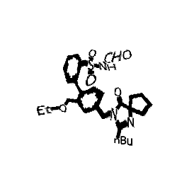 CCCCC1=NC2(CCCC2)C(=O)N1Cc1ccc(-c2ccccc2S(=O)(=O)NC=O)c(COCC)c1